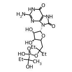 CCC(CC)(CC1O[C@@H](n2c(=O)[nH]c3c(=O)[nH]c(N)nc32)[C@H](O)[C@@H]1O)OP(=O)(O)C(C)(O)CC